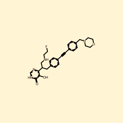 O=c1[nH]cnc(C(CNCCF)Cc2ccc(C#Cc3ccc(CN4CCOCC4)cc3)cc2)c1O